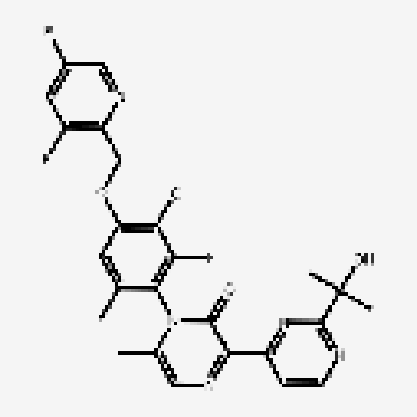 Cc1cc(OCc2ncc(F)cc2F)c(Cl)c(F)c1-n1c(C)cnc(-c2ccnc(C(C)(C)O)n2)c1=O